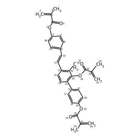 C=C(C)C(=O)Oc1ccc(/C=C/c2ccc(-c3ccc(OC(=O)C(=C)C)cc3)c(OC(=O)C(=C)C)c2C)cc1